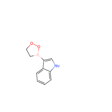 c1ccc2c(B3CCOO3)c[nH]c2c1